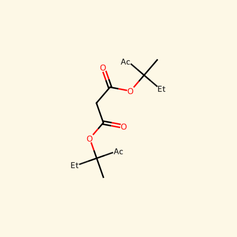 CCC(C)(OC(=O)CC(=O)OC(C)(CC)C(C)=O)C(C)=O